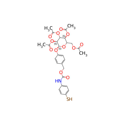 CC(=O)OCC1O[C@@H](Oc2ccc(COC(=O)Nc3ccc(S)cc3)cc2)[C@@H](OC(C)=O)C(OC(C)=O)[C@H]1OC(C)=O